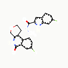 CN(C(=O)c1cc2ccc(F)cc2[nH]1)[C@H]1COCc2[nH]c(=O)c3cc(F)ccc3c21